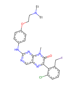 CCN(CC)CCOc1ccc(Nc2ncc3nc(-c4c(Cl)cccc4CI)c(=O)n(C)c3n2)cc1